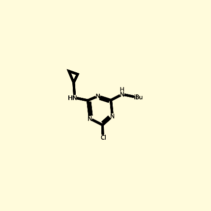 CCC(C)Nc1nc(Cl)nc(NC2CC2)n1